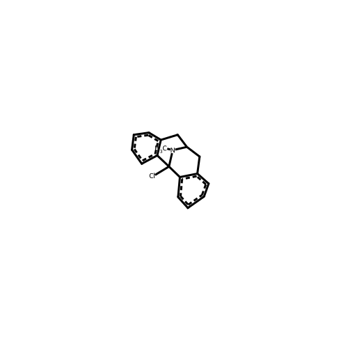 CN1C2Cc3ccccc3C1(Cl)c1ccccc1C2